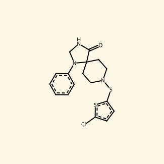 O=C1NCN(c2ccccc2)C12CCN(Sc1ccc(Cl)s1)CC2